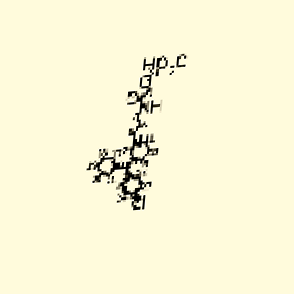 O=C(O)COCC(=O)NCCCN1CCCC(C(c2ccccc2)c2ccc(Cl)cc2)C1